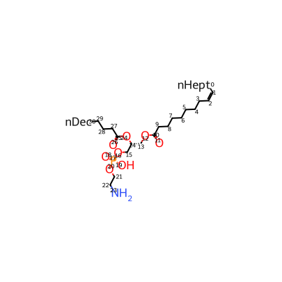 CCCCCCC/C=C\CCCCCCCC(=O)OC[C@H](COP(=O)(O)OCCN)OC(=O)CCCCCCCCCCCCC